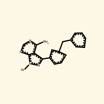 CC(C)n1nc(-c2cccc(Cc3ccccc3)c2)c2c(N)ncnc21